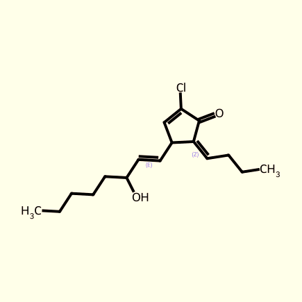 CCC/C=C1\C(=O)C(Cl)=CC1/C=C/C(O)CCCCC